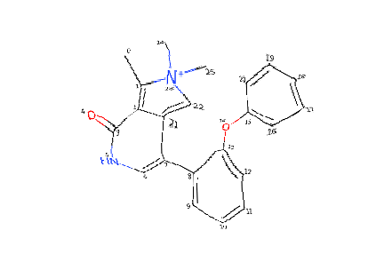 CC1=c2c(=O)[nH]cc(-c3ccccc3Oc3ccccc3)c2=C[N+]1(C)C